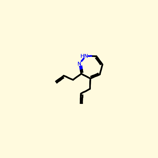 C=CCC1=CC=CNN=C1CC=C